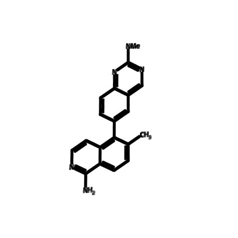 CNc1ncc2cc(-c3c(C)ccc4c(N)nccc34)ccc2n1